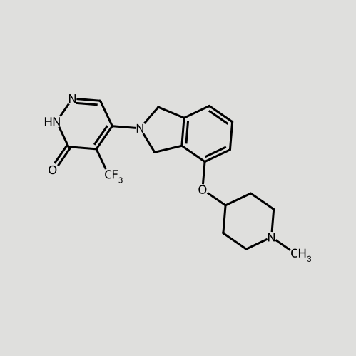 CN1CCC(Oc2cccc3c2CN(c2cn[nH]c(=O)c2C(F)(F)F)C3)CC1